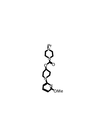 COc1cccc(N2CCC(OC(=O)N3CCN(C(C)C)CC3)CC2)n1